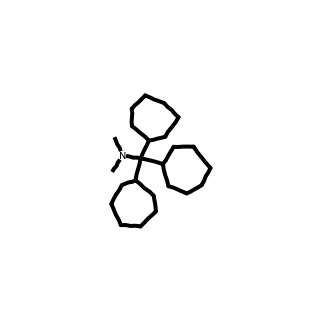 CN(C)C(C1CCCCCC1)(C1CCCCCC1)C1CCCCCC1